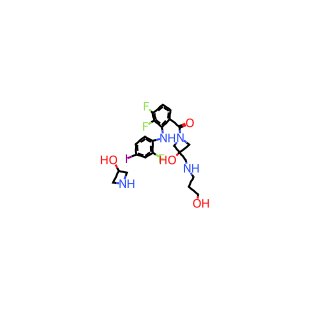 O=C(c1ccc(F)c(F)c1Nc1ccc(I)cc1F)N1CC(O)(CNCCCO)C1.OC1CNC1